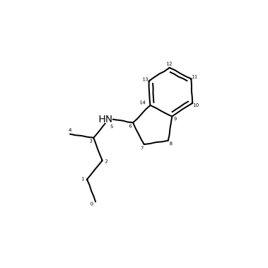 CCCC(C)NC1CCc2ccccc21